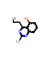 N#CCCc1nc(C(F)(F)F)nc2cccc(O)c12